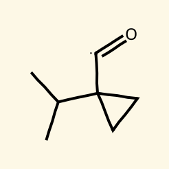 CC(C)C1([C]=O)CC1